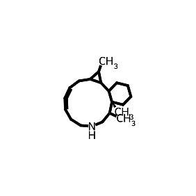 CC1C2CC=C=CCCNCC(C)[C@@]3(C)CCCCC3C12